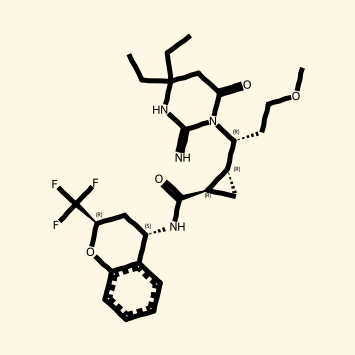 CCC1(CC)CC(=O)N([C@H](CCOC)[C@@H]2C[C@H]2C(=O)N[C@H]2C[C@H](C(F)(F)F)Oc3ccccc32)C(=N)N1